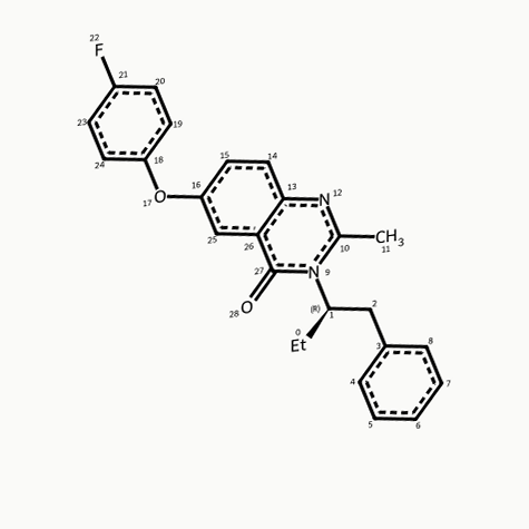 CC[C@H](Cc1ccccc1)n1c(C)nc2ccc(Oc3ccc(F)cc3)cc2c1=O